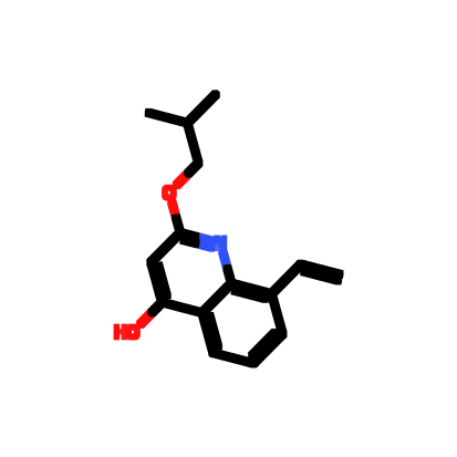 C=Cc1cccc2c(O)cc(OCC(C)C)nc12